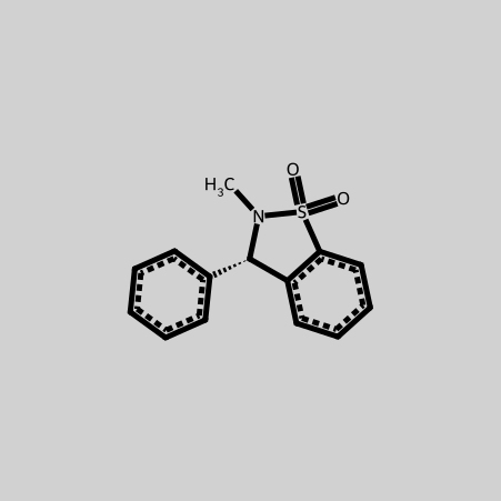 CN1[C@@H](c2ccccc2)c2ccccc2S1(=O)=O